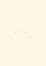 O=C(Cc1ccccc1)Nc1ccc(Oc2ccccc2)cc1